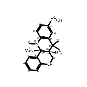 CO[C@]12c3ccccc3OC[C@H]1C(C)(C)c1cc(C(=O)O)ccc1N2C